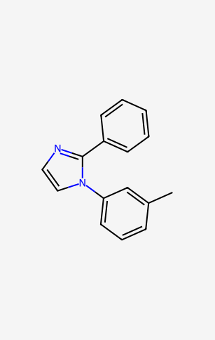 Cc1cccc(-n2ccnc2-c2ccccc2)c1